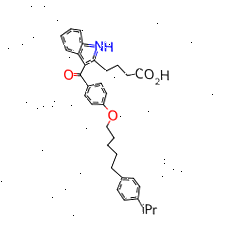 CC(C)c1ccc(CCCCCOc2ccc(C(=O)c3c(CCCC(=O)O)[nH]c4ccccc34)cc2)cc1